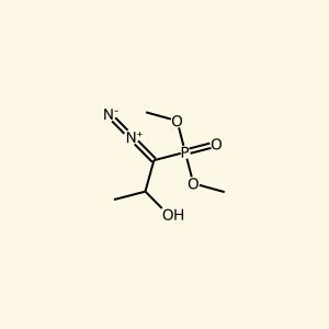 COP(=O)(OC)C(=[N+]=[N-])C(C)O